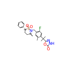 Cc1cc(CN2[C@@H](C)CC[C@H](c3ccccc3)S2(=O)=O)c(F)cc1C(C)(C)c1n[nH]c(=O)o1